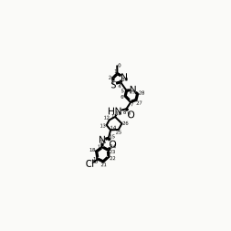 Cc1csc(-c2cc(C(=O)NC3CCC(c4nc5cc(Cl)ccc5o4)CC3)ccn2)n1